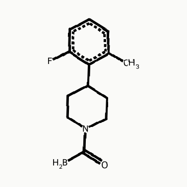 BC(=O)N1CCC(c2c(C)cccc2F)CC1